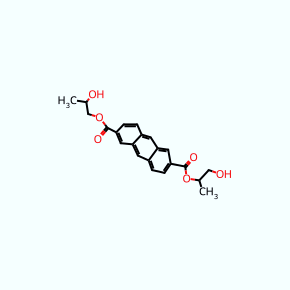 CC(O)COC(=O)c1ccc2cc3cc(C(=O)OC(C)CO)ccc3cc2c1